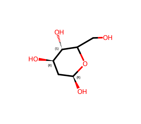 OCC1O[C@@H](O)C[C@@H](O)[C@@H]1O